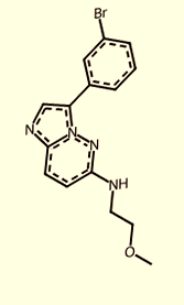 COCCNc1ccc2ncc(-c3cccc(Br)c3)n2n1